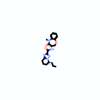 CCC[C@H]1CCCc2nc(C(=O)N[C@H]3COc4ccccc4N(C)C3=O)nn21